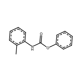 Cc1ccccc1NC(=O)Oc1ccccc1